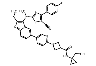 CCc1nc2ccc(-c3ccc(N4CC(C(=O)NC5(CO)CC5)C4)nc3)cn2c1N(C)c1nc(-c2ccc(F)cc2)c(C#N)s1